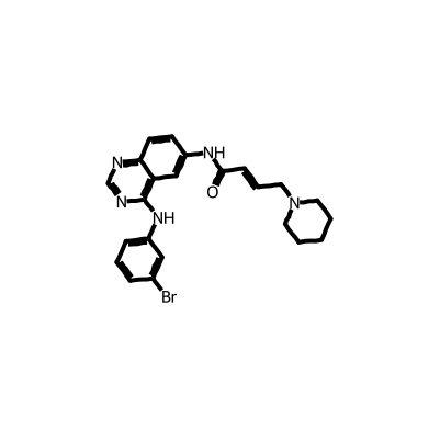 O=C(/C=C/CN1CCCCC1)Nc1ccc2ncnc(Nc3cccc(Br)c3)c2c1